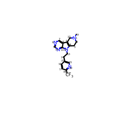 CN1CCc2c(c3cncnc3n2CCc2ccc(C(F)(F)F)nc2)C1